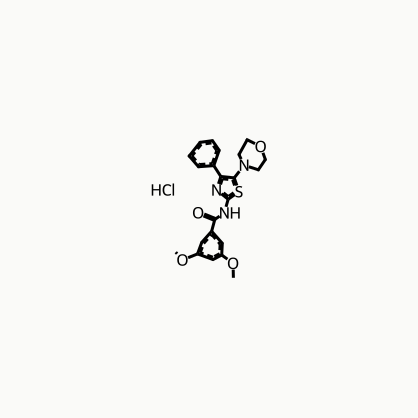 COc1cc(OC)cc(C(=O)Nc2nc(-c3ccccc3)c(N3CCOCC3)s2)c1.Cl